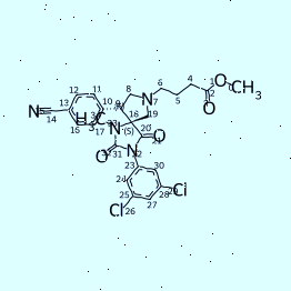 COC(=O)CCCN1C[C@@H](c2ccc(C#N)cc2)[C@]2(C1)C(=O)N(c1cc(Cl)cc(Cl)c1)C(=O)N2C